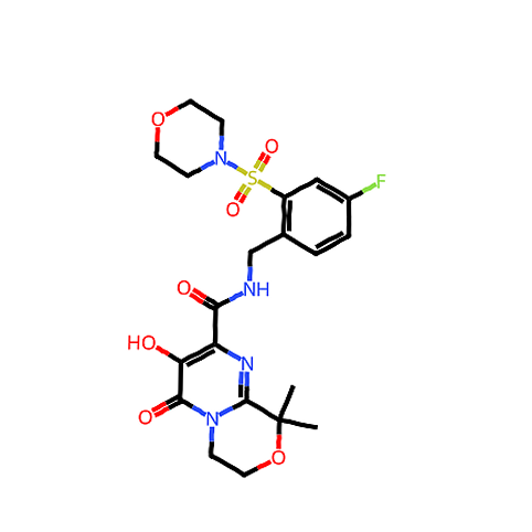 CC1(C)OCCn2c1nc(C(=O)NCc1ccc(F)cc1S(=O)(=O)N1CCOCC1)c(O)c2=O